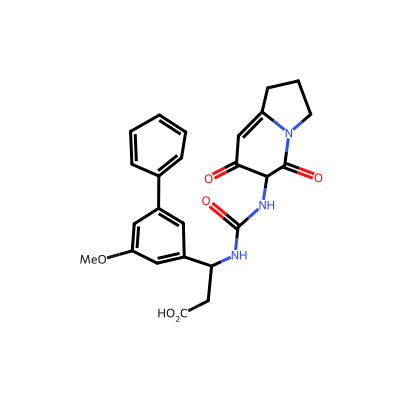 COc1cc(-c2ccccc2)cc(C(CC(=O)O)NC(=O)NC2C(=O)C=C3CCCN3C2=O)c1